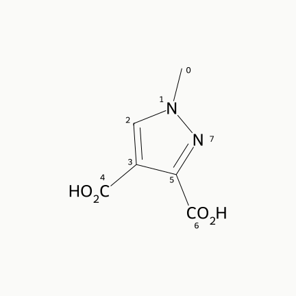 Cn1cc(C(=O)O)c(C(=O)O)n1